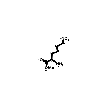 COC(=O)C(N)CCCC[N+](=O)[O-]